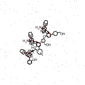 CN1CCC(c2cccc(-c3cc(N4CC5CCC(C4)N5c4ccnc(C#CCN5CC(Oc6ccccc6-c6cc(N7CC8CCC(C7)N8c7ccnc(C#CCN8CCC(CO)CC8)c7)c(N)nn6)C[C@H]5CO)c4)c(N)nn3)c2O)N(CC#Cc2cc(N3C4CCC3CN(c3cc(-c5ccccc5O)nnc3N)C4)ccn2)CC1